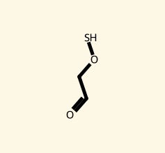 O=CCOS